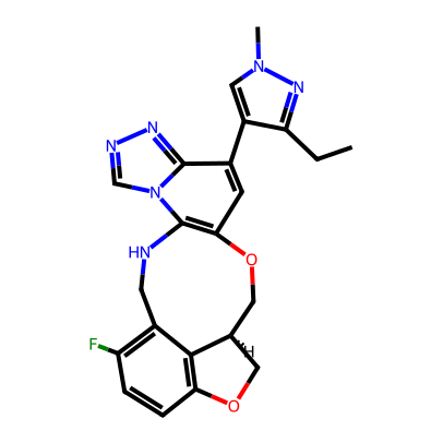 CCc1nn(C)cc1-c1cc2c(n3cnnc13)NCc1c(F)ccc3c1[C@H](CO3)CO2